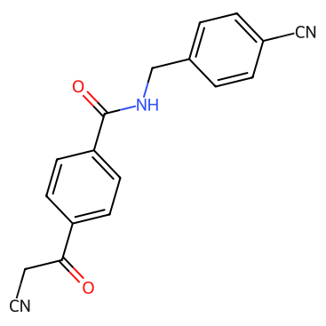 N#CCC(=O)c1ccc(C(=O)NCc2ccc(C#N)cc2)cc1